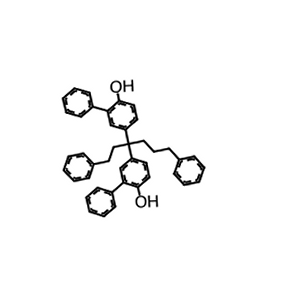 Oc1ccc(C(CCCc2ccccc2)(CCc2ccccc2)c2ccc(O)c(-c3ccccc3)c2)cc1-c1ccccc1